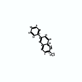 Clc1ccc2cc(-c3ccccc3)ccc2n1